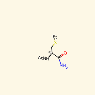 CCSC[C@H](NC(C)=O)C(N)=O